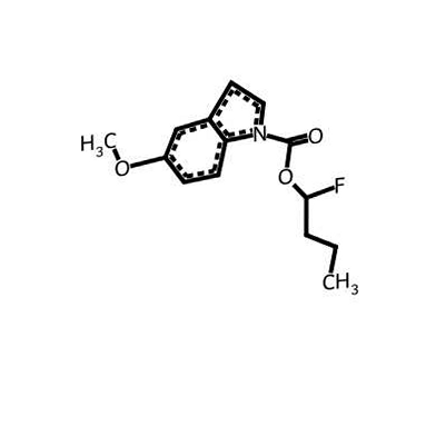 CCCC(F)OC(=O)n1ccc2cc(OC)ccc21